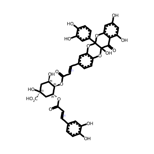 O=C(/C=C/c1ccc2c(c1)OC1(c3ccc(O)c(O)c3)Oc3cc(O)cc(O)c3C(=O)C1(O)O2)O[C@@H]1[C@H](O)C[C@@](O)(C(=O)O)C[C@H]1OC(=O)/C=C/c1ccc(O)c(O)c1